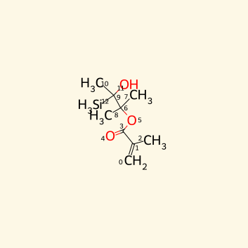 C=C(C)C(=O)OC(C)(C)C(C)(O)[SiH3]